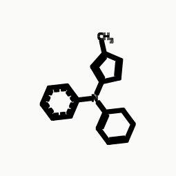 CC1=C=C(N(C2=CC=CCC2)c2ccccc2)C=C1